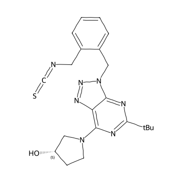 CC(C)(C)c1nc(N2CC[C@H](O)C2)c2nnn(Cc3ccccc3CN=C=S)c2n1